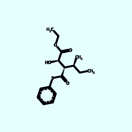 CCOC(=O)[C@H](O)[C@@H](C(=O)Sc1ccccc1)[C@@H](C)CC